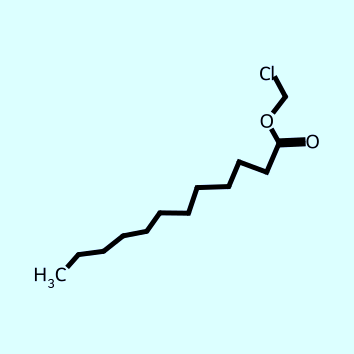 CCCCCCCCCCCC(=O)OCCl